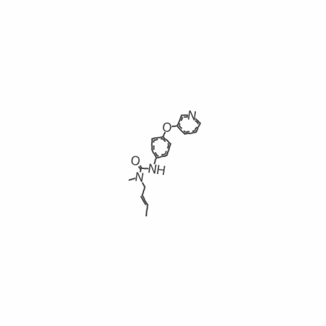 CC=CCN(C)C(=O)Nc1ccc(Oc2cccnc2)cc1